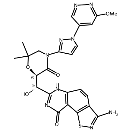 COc1cc(-n2ccc(N3CC(C)(C)O[C@H]([C@@H](O)c4nc(=O)c5c(ccc6c(N)nsc65)[nH]4)C3=O)n2)cnn1